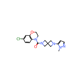 Cn1nccc1N1CC2(CN(C(=O)N3CCOc4cc(Cl)ccc43)C2)C1